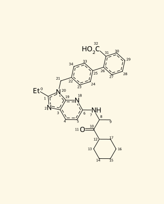 CCc1nc2ccc(NC(C)C(=O)C3CCCCC3)nc2n1Cc1ccc(-c2ccccc2C(=O)O)cc1